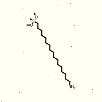 CO[Si](C)(CCCCCCCCCCCCCCCCCN)OC